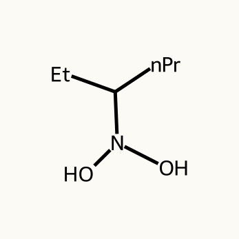 CCCC(CC)N(O)O